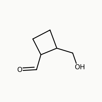 O=CC1CCC1CO